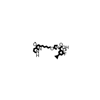 COc1cc(CCCCCO[C@@H]2CCN(C(C(=O)O)c3cc(C4CC4)cc(F)c3OC)C2)nc2c1CCCN2